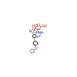 CC1(C(=CC(=O)O)C(=O)O)NCCn2c(-c3ccc(OC4CCCC4)cc3)ccc21